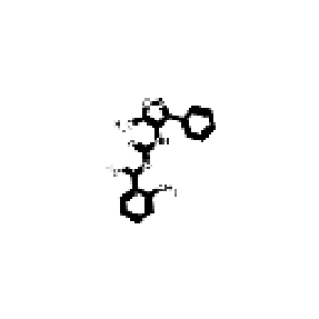 Cc1ccccc1C(C)OC(=O)Nc1c(-c2ccccc2)noc1C